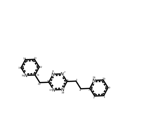 c1ccc(CCc2nnc(Cc3ccccn3)nn2)nc1